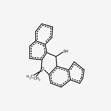 COc1ccc2ccccc2c1C(S)c1c(OC)ccc2ccccc12